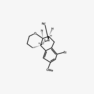 CCc1cc(OC)cc2c1C[C@@H]1[C@@H]3OCCC[C@]23CCN1C#N